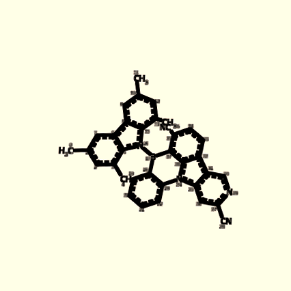 Cc1cc(C)c2c(c1)c1cc(C)cc(C)c1n2B1c2ccccc2-n2c3cc(C#N)ncc3c3ccc(C#N)c1c32